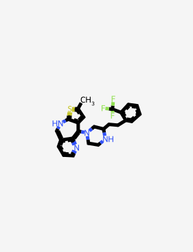 Cc1cc2c(s1)NC=c1cccnc1=C2N1CCNC(CCc2ccccc2C(F)(F)F)C1